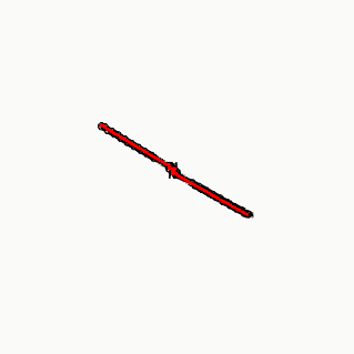 COCCOCCOCCOCCOCCOCCOCCOCCOCCOCCOCCOCCOCCOCCOCCOCCOCCCCCCCCCCCCOC(=O)CCC(C)(C#N)/N=N/C(C)(C#N)CCC(=O)OCCCCCCCCCCCCOCCOCCOCCOCCOCCOCCOCCOCCOCCOCCOCCOCCOCCOCCOCCOCCOC